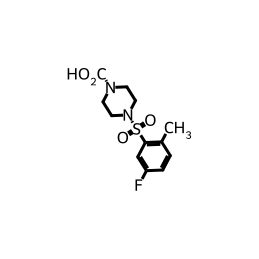 Cc1ccc(F)cc1S(=O)(=O)N1CCN(C(=O)O)CC1